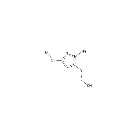 CCOc1cc(OCC#N)n(C(C)C)n1